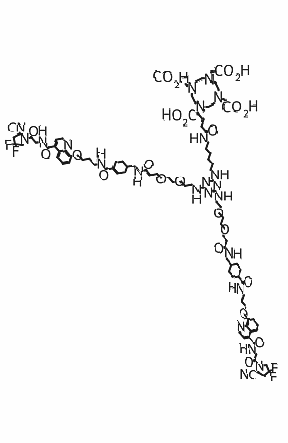 N#C[C@@H]1CC(F)(F)CN1C(=O)CNC(=O)c1ccnc2c(OCCCNC(=O)C3CCC(CNC(=O)CCOCCOCCNc4nc(NCCCCCCNC(=O)CCC(C(=O)O)N5CCN(CC(=O)O)CCN(CC(=O)O)CCN(CC(=O)O)CC5)nc(NCCOCCOCCC(=O)NCC5CCC(C(=O)NCCCOc6cccc7c(C(=O)NCC(=O)N8CC(F)(F)C[C@H]8C#N)ccnc67)CC5)n4)CC3)cccc12